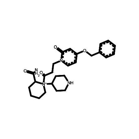 NC(=O)C1CCCC[N+]1(C(=O)[CH]Cn1ccc(OCc2ccccc2)cc1=O)C1CCNCC1